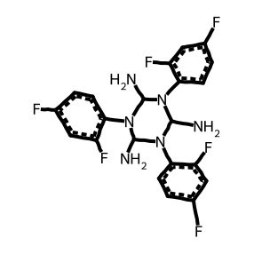 NC1N(c2ccc(F)cc2F)C(N)N(c2ccc(F)cc2F)C(N)N1c1ccc(F)cc1F